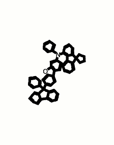 c1ccc(N(c2ccc3c(c2)oc2cc(C4(c5ccccc5)c5ccccc5-c5ccccc54)ccc23)c2cccc3c2-c2ccccc2C32CCCC2)cc1